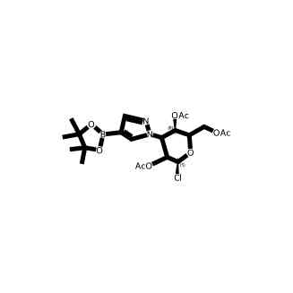 CC(=O)OCC1O[C@@H](Cl)C(OC(C)=O)C(n2cc(B3OC(C)(C)C(C)(C)O3)cn2)[C@H]1OC(C)=O